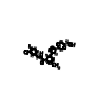 Cc1nc(C(=O)NCc2ccc(F)c(Cl)c2)cc(C2=NO[C@H](C3CO[C@@H](CO)CO3)C2)n1